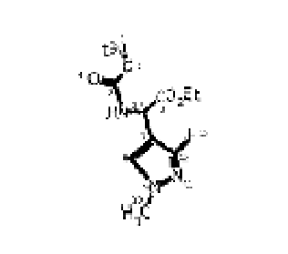 CCOC(=O)C(NC(=O)OC(C)(C)C)c1cn(C)nc1F